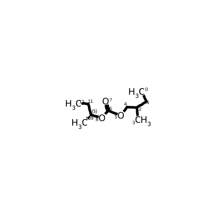 CCC(C)COC(=O)O[C@@H](C)CC